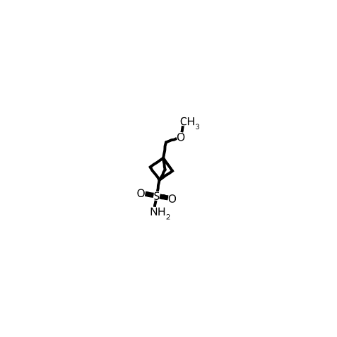 COCC12CC(S(N)(=O)=O)(C1)C2